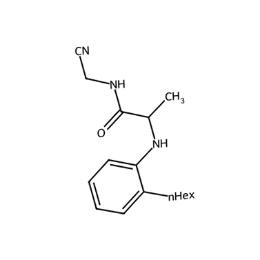 CCCCCCc1ccccc1NC(C)C(=O)NCC#N